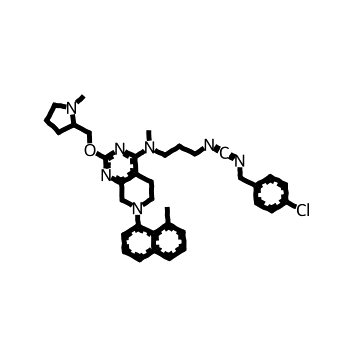 Cc1cccc2cccc(N3CCc4c(nc(OCC5CCCN5C)nc4N(C)CCCN=C=NCc4ccc(Cl)cc4)C3)c12